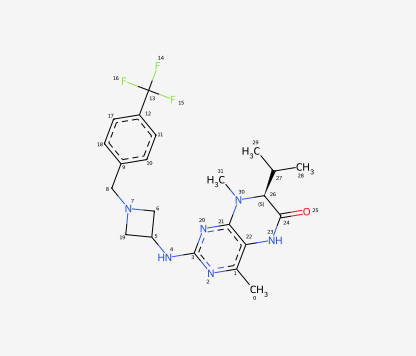 Cc1nc(NC2CN(Cc3ccc(C(F)(F)F)cc3)C2)nc2c1NC(=O)[C@H](C(C)C)N2C